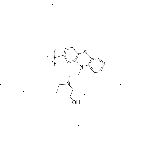 CCN(CCO)CCN1c2ccccc2Sc2ccc(C(F)(F)F)cc21